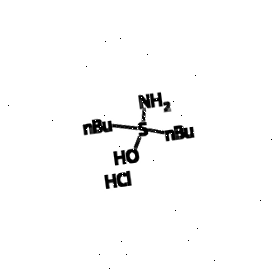 CCCCS(N)(O)CCCC.Cl